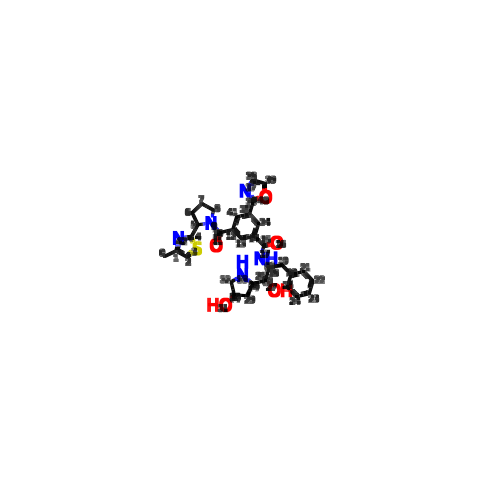 Cc1csc(C2CCCN2C(=O)c2cc(C(=O)N[C@@H](Cc3ccccc3)[C@H](O)[C@H]3C[C@@H](O)CN3)cc(-c3ncco3)c2)n1